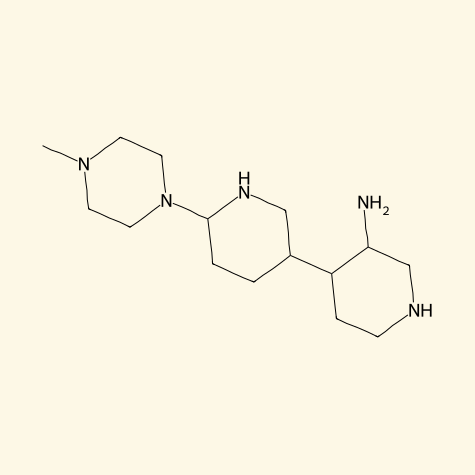 CN1CCN(C2CCC(C3CCNCC3N)CN2)CC1